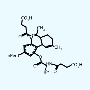 C=C(C)C1CCC(C)=CC1c1c(OC(=O)CCC(=O)O)cc(CCCCC)cc1OC(=O)[C@@H](NC(=O)CCC(=O)O)C(C)C